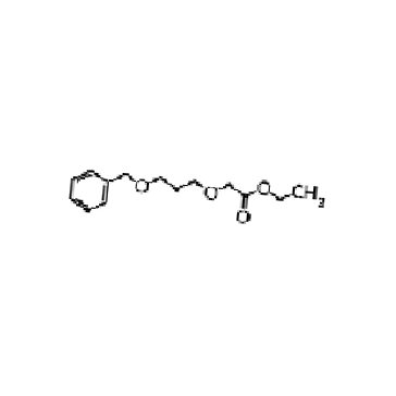 CCOC(=O)COCCCOCc1ccccc1